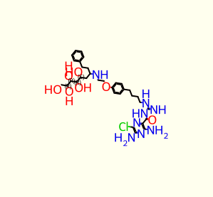 N=C(NCCCCc1ccc(OCCNC(CCc2ccccc2)C[C@H](O)[C@@H](O)[C@H](O)[C@H](O)CO)cc1)NC(=O)c1nc(Cl)c(N)nc1N